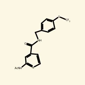 CC(=O)Nc1cc(C(=O)NCc2ccc(SC(F)(F)F)cc2)ccn1